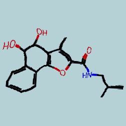 Cc1c(C(=O)NCC(C)C)oc2c1C(O)C(O)c1ccccc1-2